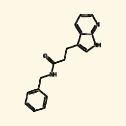 O=C(CCc1c[nH]c2ncccc12)NCc1ccccc1